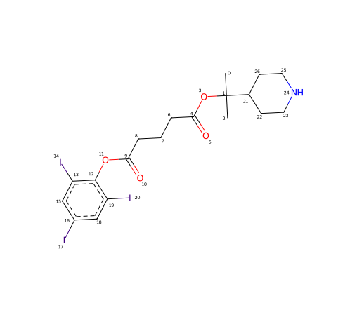 CC(C)(OC(=O)CCCC(=O)Oc1c(I)cc(I)cc1I)C1CCNCC1